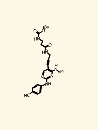 CCCNc1nc(Nc2ccc(C#N)cc2)ncc1C#CCNC(=O)CCNC(=O)OC(C)(C)C